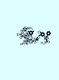 CCCN(CC)C(=O)n1cnc(S(=O)(=O)CCC)n1.CCN(CC)C(=O)n1cnc(S(=O)(=O)c2c(C)cc(C)cc2C)n1.NC(=O)c1nc(-c2ccccc2)n(-c2ccc(Cl)c(COCC(F)(F)C(F)(F)F)c2)n1.Nc1nc[nH]n1